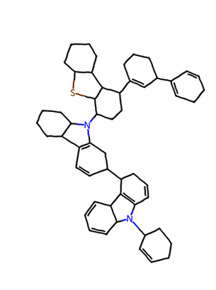 C1=CC2C3=C(C=CCC3C3C=CC4=C(C3)N(C3CCC(C5=CC(C6=CCCC=C6)CCC5)C5C6CCCCC6SC53)C3CCCCC43)N(C3C=CCCC3)C2C=C1